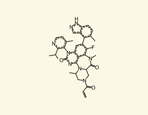 C=CC(=O)N1CC(C)N2c3nc(=O)n(-c4c(C)ccnc4C(C)C)c4cc(-c5c(C)ccc6[nH]ncc56)c(F)c(c34)N(C)C(=O)C2C1